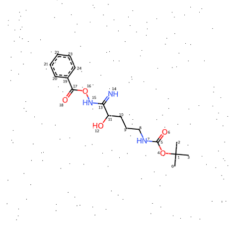 CC(C)(C)OC(=O)NCCCC(O)C(=N)NOC(=O)c1ccccc1